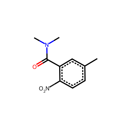 Cc1ccc([N+](=O)[O-])c(C(=O)N(C)C)c1